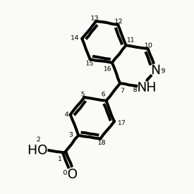 O=C(O)c1ccc(C2NN=Cc3ccccc32)cc1